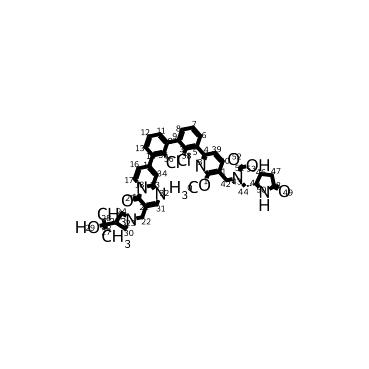 COc1nc(-c2cccc(-c3cccc(-c4ccn5c(=O)c(CN6CC(C(C)(C)O)C6)cnc5c4)c3Cl)c2Cl)ccc1CN(C[C@@H]1CCC(=O)N1)C(=O)O